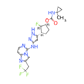 CC1(NC(=O)O[C@@H]2CC[C@H](c3cc(Nc4nccc5nc(CC(F)(F)F)cn45)n[nH]3)[C@H]2F)CC1